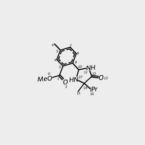 COC(=O)c1cc(C)ccc1C1NC(=O)C(C)(C(C)C)N1